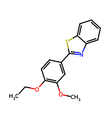 CCOc1ccc(-c2nc3ccccc3s2)cc1OC